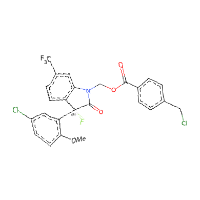 COc1ccc(Cl)cc1[C@]1(F)C(=O)N(COC(=O)c2ccc(CCl)cc2)c2cc(C(F)(F)F)ccc21